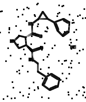 Cl.O=C(NCCc1ccccc1)[C@H]1CNC[C@@H]1C(=O)NC1CC1c1ccccc1